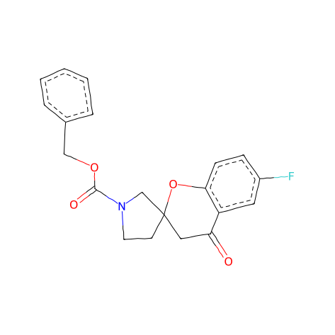 O=C1CC2(CCN(C(=O)OCc3ccccc3)C2)Oc2ccc(F)cc21